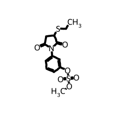 CCSC1CC(=O)N(c2cccc(OS(=O)(=O)OC)c2)C1=O